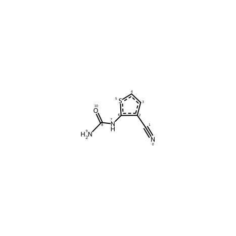 N#Cc1ccsc1NC(N)=O